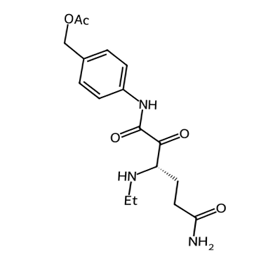 CCN[C@@H](CCC(N)=O)C(=O)C(=O)Nc1ccc(COC(C)=O)cc1